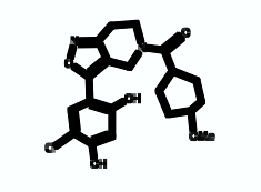 COC1CCC(C(=O)N2CCc3noc(-c4cc(Cl)c(O)cc4O)c3C2)CC1